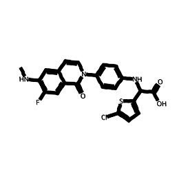 CNc1cc2ccn(-c3ccc(NC(C(=O)O)c4ccc(Cl)s4)cc3)c(=O)c2cc1F